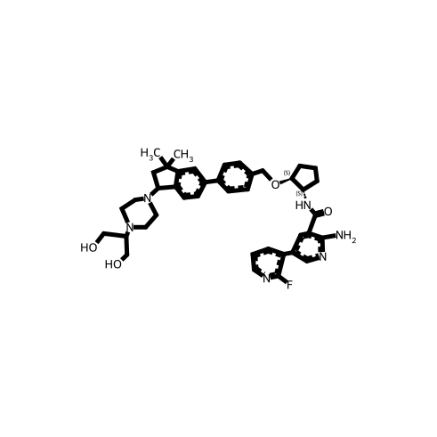 CC1(C)CC(N2CCN(C(CO)CO)CC2)c2ccc(-c3ccc(CO[C@H]4CCC[C@@H]4NC(=O)c4cc(-c5cccnc5F)cnc4N)cc3)cc21